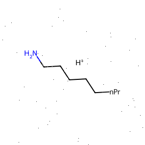 CCCCCCCCN.[H+]